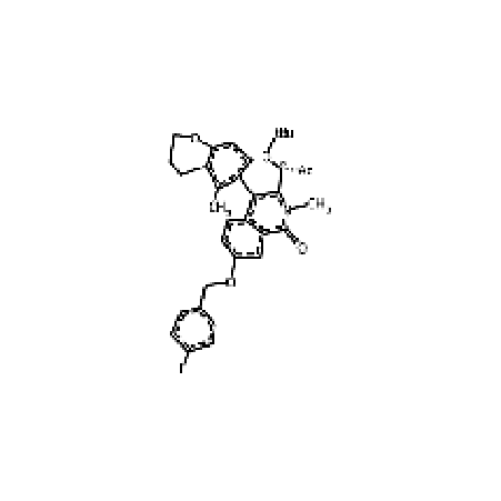 CC(=O)[C@@H](OC(C)(C)C)c1c(-c2ccc3c(c2C)CCCO3)c2ccc(OCc3ccc(F)cc3)cc2c(=O)n1C